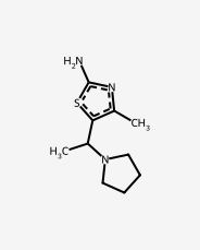 Cc1nc(N)sc1C(C)N1CCCC1